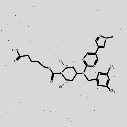 CC[C@@H]1CC(N(Cc2cc(C(F)(F)F)cc(C(F)(F)F)c2)c2ncc(-c3cnn(C)c3)cn2)C[C@H](CC)N1C(=O)OCCCCC(N)=O